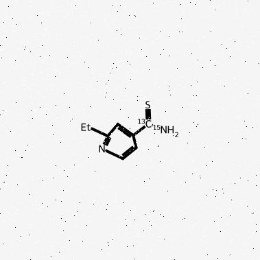 CCc1cc([13C]([15NH2])=S)ccn1